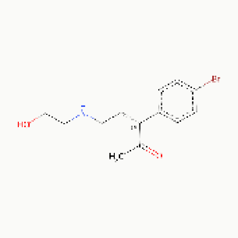 CC(=O)[C@H](CCNCCO)c1ccc(Br)cc1